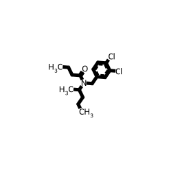 CCCC(=O)N(Cc1ccc(Cl)c(Cl)c1)C(C)CCC